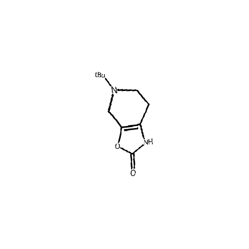 CC(C)(C)N1CCc2[nH]c(=O)oc2C1